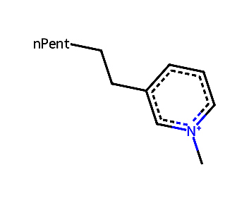 CCCCCCCc1ccc[n+](C)c1